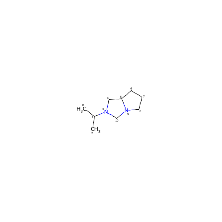 CC(C)N1CC2CCCN2C1